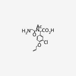 C=CCOc1ccc(C(C(=O)O)N(C(C)=O)C(=O)CN)cc1Cl